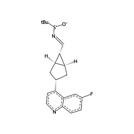 CC(C)(C)[S+]([O-])/N=C/[C@@H]1[C@H]2C[C@H](c3ccnc4ccc(F)cc34)C[C@@H]12